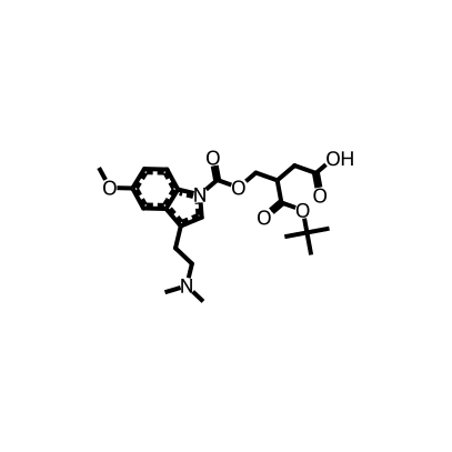 COc1ccc2c(c1)c(CCN(C)C)cn2C(=O)OCC(CC(=O)O)C(=O)OC(C)(C)C